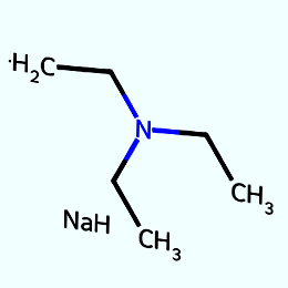 [CH2]CN(CC)CC.[NaH]